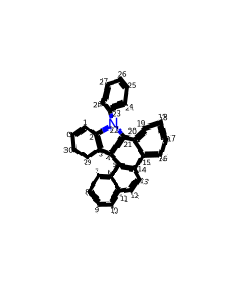 C1=Cc2c(c3c4c5ccccc5ccc4c4ccccc4c3n2-c2ccccc2)CC1